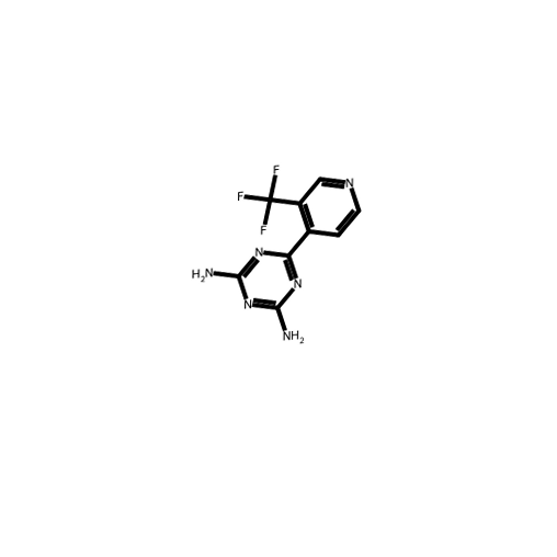 Nc1nc(N)nc(-c2ccncc2C(F)(F)F)n1